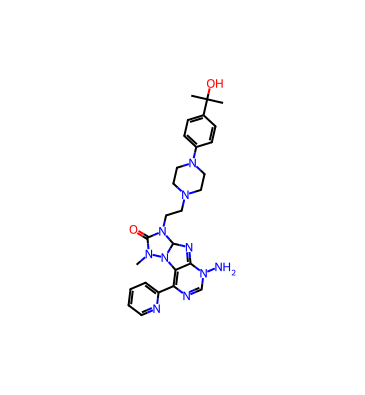 CN1C(=O)N(CCN2CCN(c3ccc(C(C)(C)O)cc3)CC2)C2N=C3C(=C(c4ccccn4)N=CN3N)N21